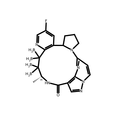 BC1(B)c2ncc(F)cc2C2CCCN2c2ccn3ncc(c3n2)C(=O)N[C@H](C)C1(B)B